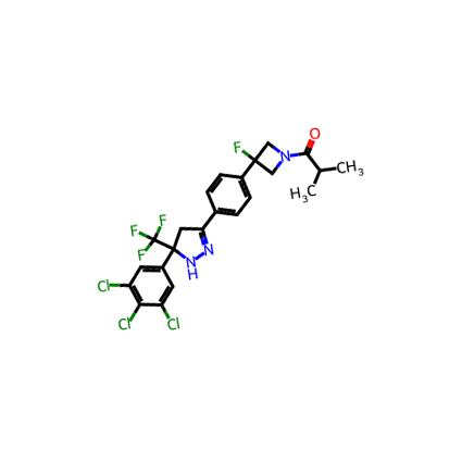 CC(C)C(=O)N1CC(F)(c2ccc(C3=NNC(c4cc(Cl)c(Cl)c(Cl)c4)(C(F)(F)F)C3)cc2)C1